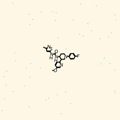 COc1ccc(C2CN(c3ccc(F)cc3)CCC2NC(=O)Nc2cc(C)ns2)nc1